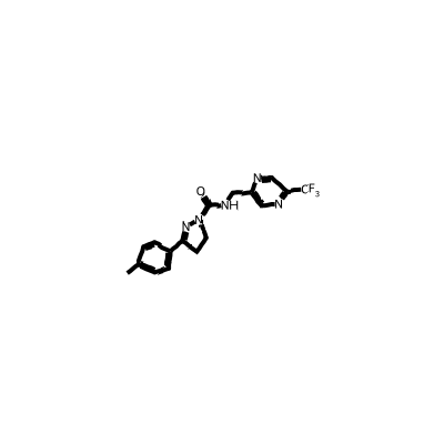 Cc1ccc(C2=NN(C(=O)NCc3cnc(C(F)(F)F)cn3)CC2)cc1